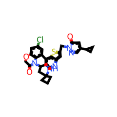 O=C1COc2cc(Cl)cc(-c3ccnc4cc(Cn5ncc(C6CC6)cc5=O)sc34)c2N1C1CNC2(CCC2)C1